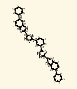 c1ccc(-c2ccc3sc(-c4nnc(-c5cccc(-c6nnc(-c7nc8cc(-c9ccccc9)ccc8s7)o6)c5)o4)nc3c2)cc1